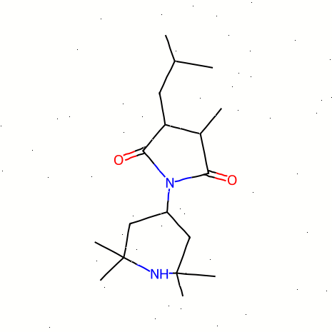 CC(C)CC1C(=O)N(C2CC(C)(C)NC(C)(C)C2)C(=O)C1C